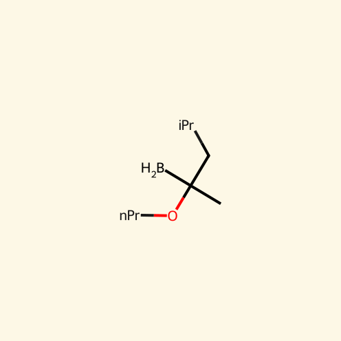 BC(C)(CC(C)C)OCCC